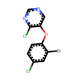 CCc1cc(Cl)ccc1Oc1cncnc1Cl